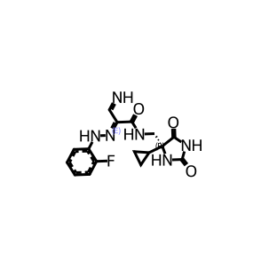 N=C/C(=N\Nc1ccccc1F)C(=O)NC[C@@]1(C2CC2)NC(=O)NC1=O